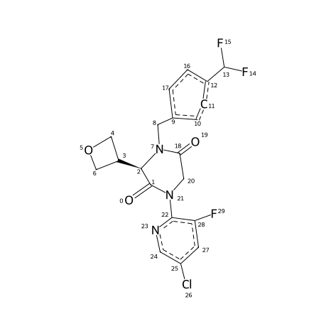 O=C1[C@@H](C2COC2)N(Cc2ccc(C(F)F)cc2)C(=O)CN1c1ncc(Cl)cc1F